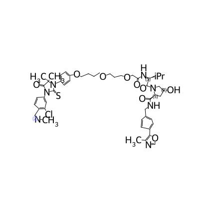 C/N=C\c1ccc(N2C(=O)C(C)(C)N(c3ccc(OCCCCOCCCOCC(=O)N[C@H](C(=O)N4C[C@H](O)C[C@H]4C(=O)NCc4ccc(-c5ocnc5C)cc4)C(C)C)cc3)C2=S)cc1Cl